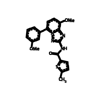 COc1cccc(-c2ccc(OC)c3nc(NC(=O)c4ccc(C)s4)nn23)c1